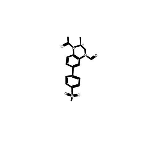 CC(=O)N1c2ccc(-c3ccc(S(C)(=O)=O)cc3)cc2N(C=O)C[C@@H]1C